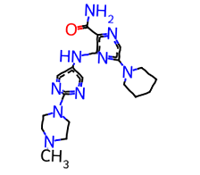 CN1CCN(c2ncc(Nc3nc(N4CCCCC4)cnc3C(N)=O)cn2)CC1